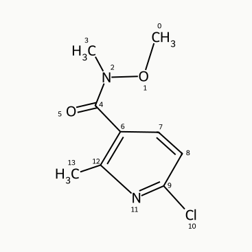 CON(C)C(=O)c1ccc(Cl)nc1C